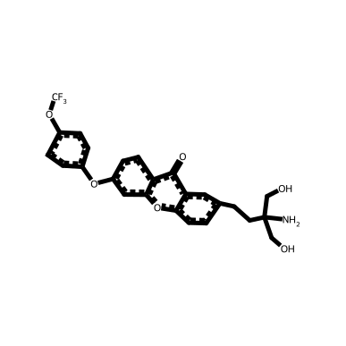 NC(CO)(CO)CCc1ccc2oc3cc(Oc4ccc(OC(F)(F)F)cc4)ccc3c(=O)c2c1